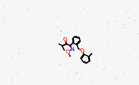 CON=C(C(=O)C(C)C)c1ccccc1COc1ccccc1C